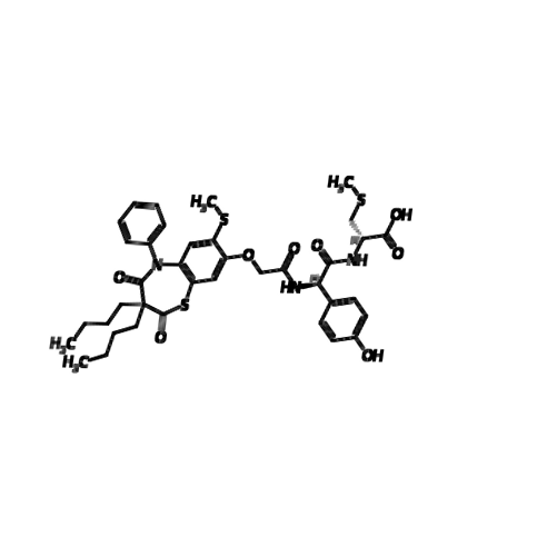 CCCCC1(CCCC)C(=O)Sc2cc(OCC(=O)N[C@@H](C(=O)N[C@H](CSC)C(=O)O)c3ccc(O)cc3)c(SC)cc2N(c2ccccc2)C1=O